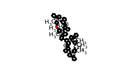 Cc1cc(C)cc(N(c2cc3c4cc(N(c5cc(C)cc(C)c5)c5cccc6c5oc5cccc(-c7ccc8c(N(c9ccc(C)c(C)c9)c9cccc%10c9oc9ccccc9%10)cc9c%10cc(N(c%11ccc(C)c(C)c%11)c%11cccc%12c%11oc%11ccccc%11%12)c%11ccccc%11c%10oc9c8c7)c56)c5ccccc5c4oc3c3ccccc23)c2cccc3c2oc2ccccc23)c1